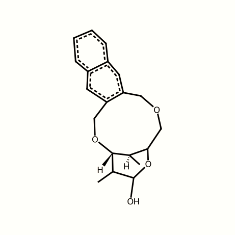 CC1C(O)OC2COCc3cc4ccccc4cc3CO[C@@H]1[C@@H]2C